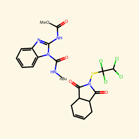 CCCCNC(=O)n1c(NC(=O)OC)nc2ccccc21.O=C1C2CC=CCC2C(=O)N1SC(Cl)(Cl)C(Cl)Cl